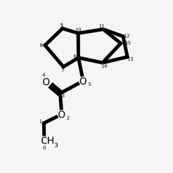 CCOC(=O)OC12CCCC1C1CCC2C1